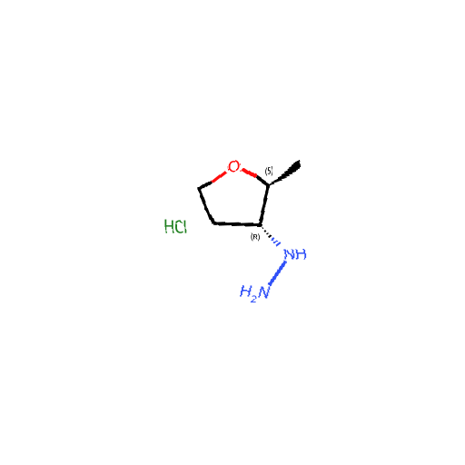 C[C@@H]1OCC[C@H]1NN.Cl